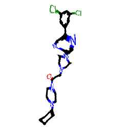 O=C(CN1CCN(c2cnc(-c3cc(Cl)cc(Cl)c3)cn2)CC1)N1CCN(C2CCC2)CC1